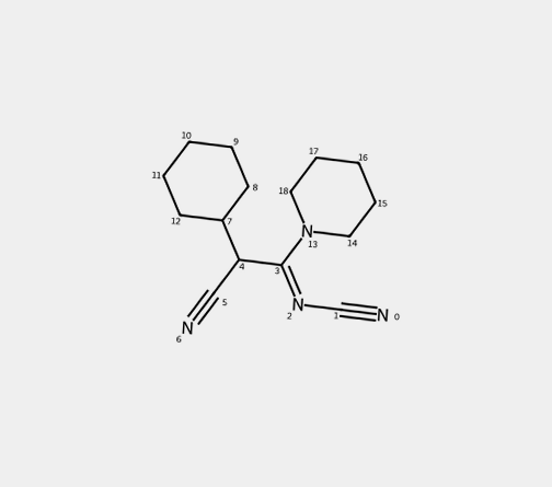 N#C/N=C(/C(C#N)C1CCCCC1)N1CCCCC1